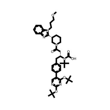 COCCCn1c([C@@H]2CCCN(C(=O)C[C@@H](Cc3ccc(-c4cnc(OC(C)(C)C)nc4OC(C)(C)C)cc3)N(C(=O)O)C(C)(C)C)C2)nc2ccccc21